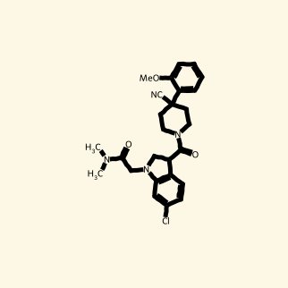 COc1ccccc1C1(C#N)CCN(C(=O)C2CN(CC(=O)N(C)C)c3cc(Cl)ccc32)CC1